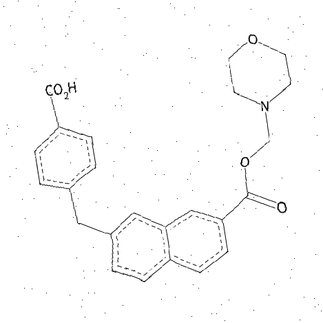 O=C(O)c1ccc(Cc2ccc3ccc(C(=O)OCN4CCOCC4)cc3c2)cc1